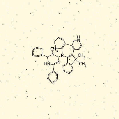 CN1C(c2ccccc2)NC(c2ccccc2)=NC1N1C2=C(C=CCC2)C2=C(C=CNC2)C2=C1c1ccccc1C2(C)C